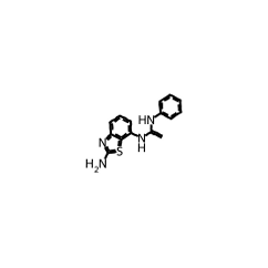 C=C(Nc1ccccc1)Nc1cccc2nc(N)sc12